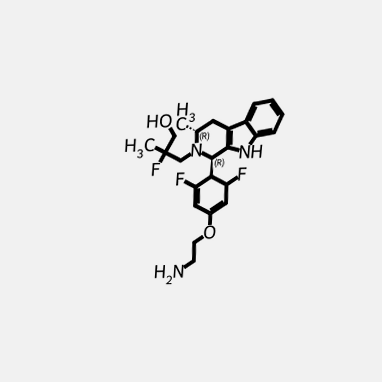 C[C@@H]1Cc2c([nH]c3ccccc23)[C@@H](C2C(F)=CC(OCCN)=CC2F)N1CC(C)(F)CO